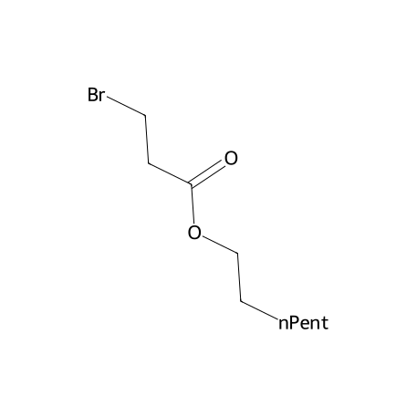 CCCCCCCOC(=O)CCBr